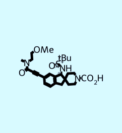 COCCN(C)C(=O)C#Cc1ccc2c(c1)[C@@H](N[S@+]([O-])C(C)(C)C)C1(CCN(C(=O)O)CC1)C2